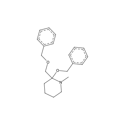 CN1CCCCC1(COCc1ccccc1)OCc1ccccc1